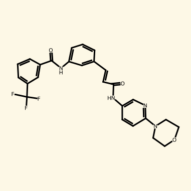 O=C(C=Cc1cccc(NC(=O)c2cccc(C(F)(F)F)c2)c1)Nc1ccc(N2CCOCC2)nc1